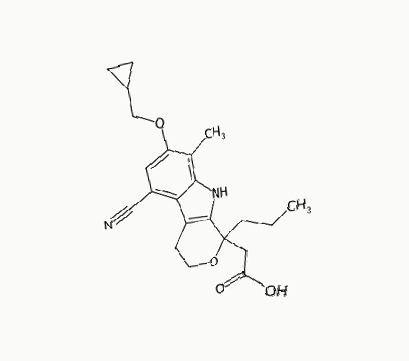 CCCC1(CC(=O)O)OCCc2c1[nH]c1c(C)c(OCC3CC3)cc(C#N)c21